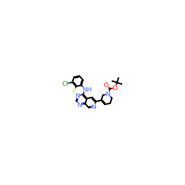 CC(C)(C)OC(=O)N1CCC=C(c2cc3c(Nc4cccc(Cl)c4F)ncnc3cn2)C1